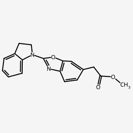 COC(=O)Cc1ccc2nc(N3CCc4ccccc43)oc2c1